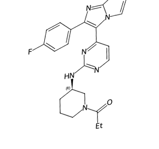 CCC(=O)N1CCC[C@@H](Nc2nccc(-c3c(-c4ccc(F)cc4)nc4occn34)n2)C1